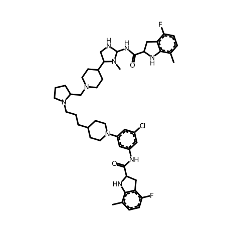 Cc1ccc(F)c2c1NC(C(=O)Nc1cc(Cl)cc(N3CCC(CCCN4CCCC4CN4CCC(C5CNC(NC(=O)C6Cc7c(F)ccc(C)c7N6)N5C)CC4)CC3)c1)C2